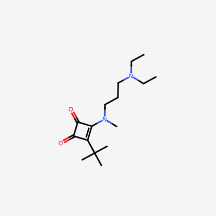 CCN(CC)CCCN(C)c1c(C(C)(C)C)c(=O)c1=O